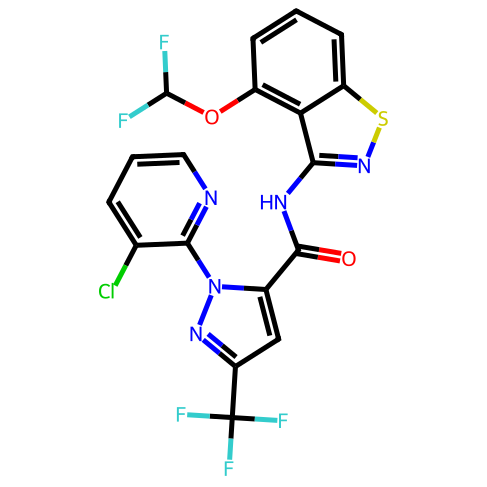 O=C(Nc1nsc2cccc(OC(F)F)c12)c1cc(C(F)(F)F)nn1-c1ncccc1Cl